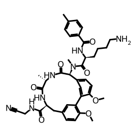 COc1ccc2cc1-c1cc(ccc1OC)[C@H](N(C)C(=O)[C@H](CCCCN)NC(=O)c1ccc(C)cc1)C(=O)N[C@@H](C)C(=O)N[C@H](C(=O)NCC#N)C2